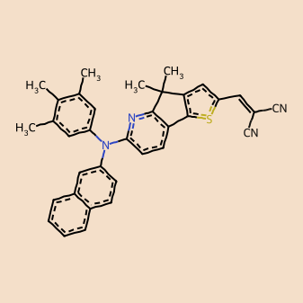 Cc1cc(N(c2ccc3ccccc3c2)c2ccc3c(n2)C(C)(C)c2cc(C=C(C#N)C#N)sc2-3)cc(C)c1C